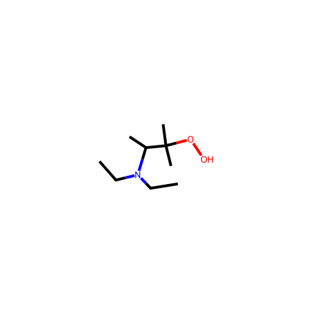 CCN(CC)C(C)C(C)(C)OO